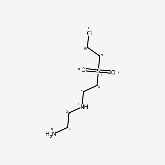 NCCNCCS(=O)(=O)CCCl